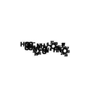 Nc1c(-c2cc(Cc3ccc(CNc4ccccc4F)cc3)no2)ccc[n+]1COP(=O)([O-])O